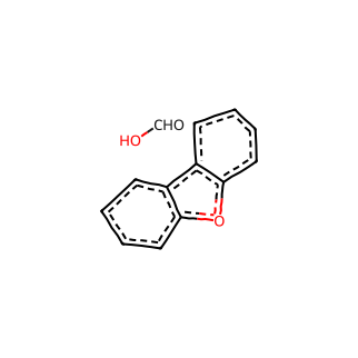 O=CO.c1ccc2c(c1)oc1ccccc12